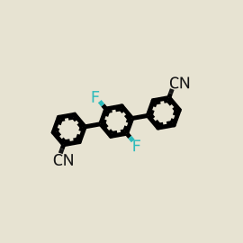 N#Cc1cccc(-c2cc(F)c(-c3cccc(C#N)c3)cc2F)c1